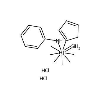 Cl.Cl.[CH3][Hf]([CH3])([CH3])([CH3])([CH3])([CH3])(=[SiH2])([NH]c1ccccc1)[C]1=CC=CC1